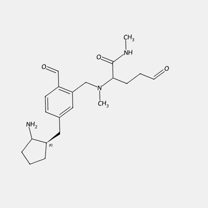 CNC(=O)C(CCC=O)N(C)Cc1cc(C[C@H]2CCCC2N)ccc1C=O